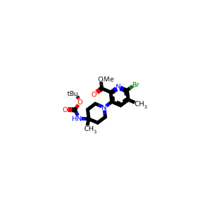 COC(=O)c1nc(Br)c(C)cc1N1CCC(C)(NC(=O)OC(C)(C)C)CC1